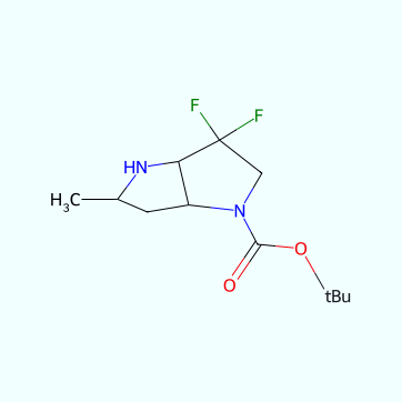 CC1CC2C(N1)C(F)(F)CN2C(=O)OC(C)(C)C